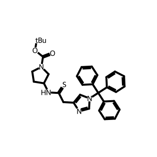 CC(C)(C)OC(=O)N1CCC(NC(=S)Cc2cn(C(c3ccccc3)(c3ccccc3)c3ccccc3)cn2)C1